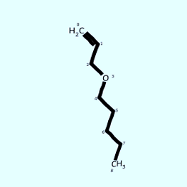 C=CCOCCCCC